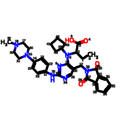 CCC(C(=O)O)N(c1nc(Nc2ccc(N3CCN(C)CC3)cc2)ncc1CN1C(=O)c2ccccc2C1=O)C1CCCC1